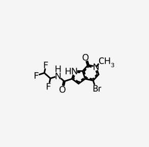 Cn1cc(Br)c2cc(C(=O)NC(F)C(F)F)[nH]c2c1=O